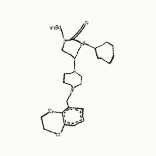 CCCCN1CC(N2CCN(c3cccc4c3OCCO4)CC2)N(C2CCCCC2)C1=O